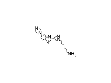 CN1CCN(c2ccc3ncc(-c4cnn(CCCCCCN)c4)nc3c2)CC1